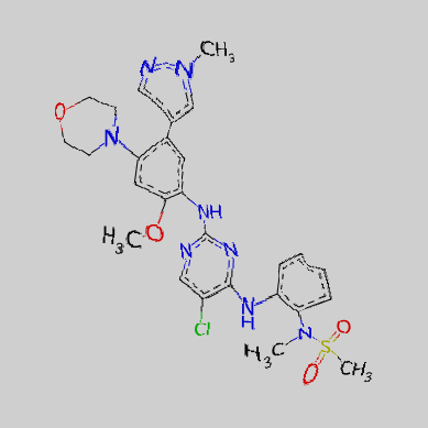 COc1cc(N2CCOCC2)c(-c2cnn(C)c2)cc1Nc1ncc(Cl)c(Nc2ccccc2N(C)S(C)(=O)=O)n1